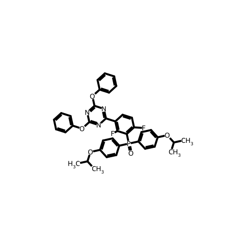 CC(C)Oc1ccc(P(=O)(c2ccc(OC(C)C)cc2)c2c(F)ccc(-c3nc(Oc4ccccc4)nc(Oc4ccccc4)n3)c2F)cc1